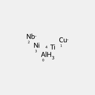 [AlH3].[Cu].[Nb].[Ni].[Ti]